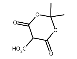 CC1(C)OC(=O)C(C(=O)O)C(=O)O1